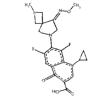 CON=C1CN(c2c(F)cc3c(=O)c(C(=O)O)cn(C4CC4)c3c2F)CC12CN(C)C2